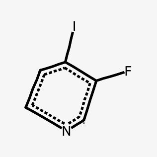 Fc1[c]nccc1I